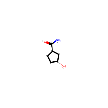 NC(=O)[C@@H]1CC[C@@H](O)C1